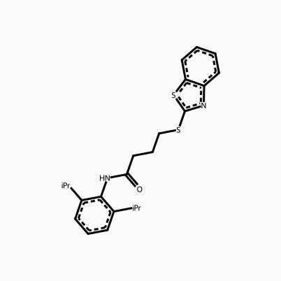 CC(C)c1cccc(C(C)C)c1NC(=O)CCCSc1nc2ccccc2s1